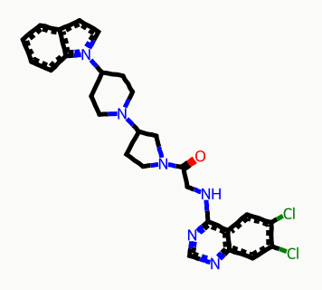 O=C(CNc1ncnc2cc(Cl)c(Cl)cc12)N1CCC(N2CCC(n3ccc4ccccc43)CC2)C1